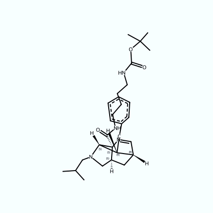 CC(C)CN1C[C@@H]2C[C@H]3C=N[C@]2(C(=O)NCCCCNC(=O)OC(C)(C)C)[C@@H]1[C@@H]3Cc1ccccc1